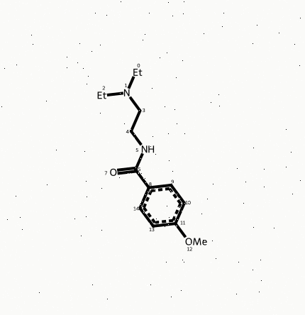 CCN(CC)CCNC(=O)c1ccc(OC)cc1